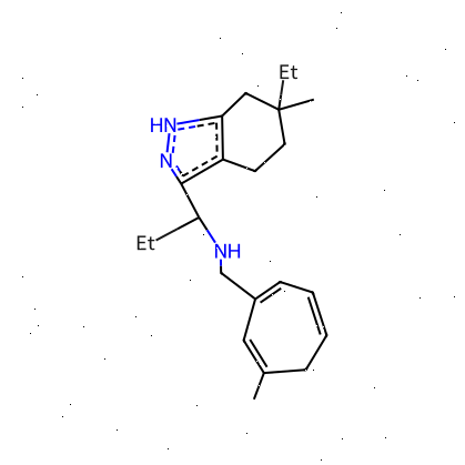 CCC(NCC1=CC=CCC(C)=C1)c1n[nH]c2c1CCC(C)(CC)C2